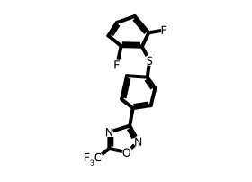 Fc1cccc(F)c1Sc1ccc(-c2noc(C(F)(F)F)n2)cc1